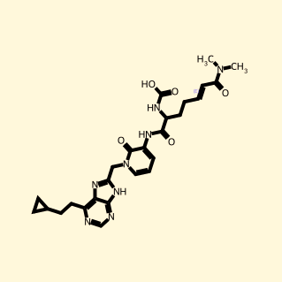 CN(C)C(=O)/C=C/CCC(NC(=O)O)C(=O)Nc1cccn(Cc2nc3c(CCC4CC4)ncnc3[nH]2)c1=O